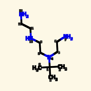 CC(C)(C)N(CCN)CCNCCN